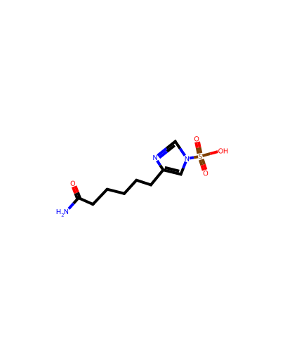 NC(=O)CCCCCc1cn(S(=O)(=O)O)cn1